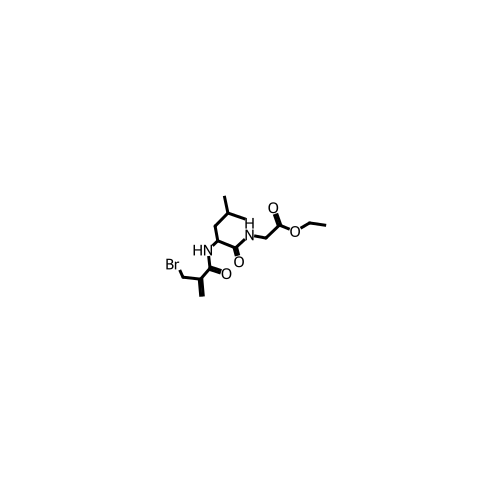 C=C(CBr)C(=O)NC(CC(C)C)C(=O)NCC(=O)OCC